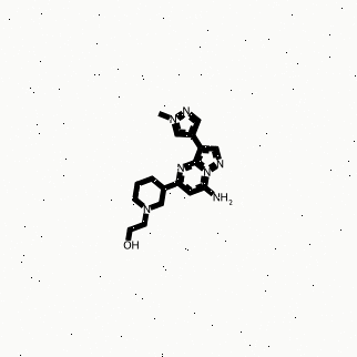 Cn1cc(-c2cnn3c(N)cc(C4CCCN(CCO)C4)nc23)cn1